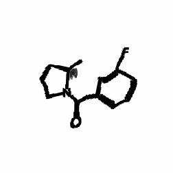 C[C@@H]1CCCN1C(=O)c1cccc(F)c1